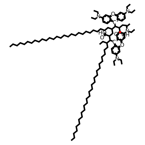 CCCCCCCCCCCCCCCCCCCCCCCCCCCCC(CC(C(=O)O)C([c+]1c2ccc(N(CC)CC)cc2oc2cc(N(CC)CC)ccc21)C(CC)CCCCCCCCCCCCCCCCCCCCCCCCCCCC)C([c+]1c2ccc(N(CC)CC)cc2oc2cc(N(CC)CC)ccc21)C(CC)C(=O)O